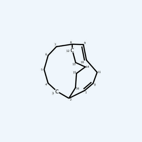 C1=C\C2CCCCCC(/C=C/C/1)CCCCC2